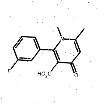 Cc1cc(=O)c(C(=O)O)c(-c2cccc(F)c2)n1C